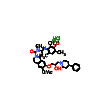 COc1cc2c(cc1OCC(O)CN1CCC(c3ccccc3)CC1)-c1cc(=Nc3c(C)cc(C)cc3C)n(C)c(=O)n1CC2.Cl.Cl.O